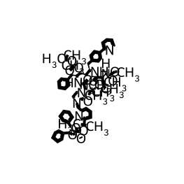 COC(=O)N[C@H](C(=O)N[C@H](Cc1ccc(-c2ccccn2)cc1)C[C@H](OC(=O)OC(C)(C)C)[C@H](Cc1ccccc1)NC(=O)[C@@H](N1CCN(Cc2cccc(C(C)(C)OP(=O)(OCc3ccccc3)OCc3ccccc3)n2)C1=O)C(C)(C)C)C(C)(C)C